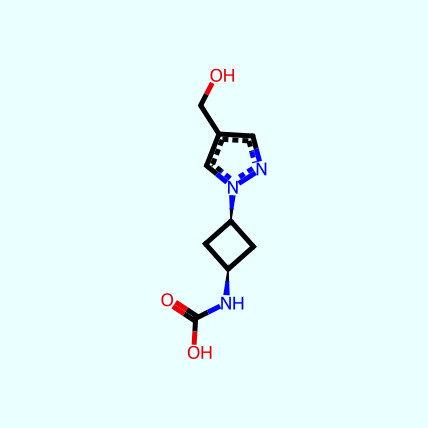 O=C(O)N[C@H]1C[C@@H](n2cc(CO)cn2)C1